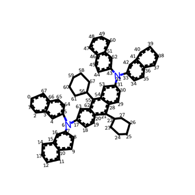 c1ccc2cc(N(c3ccc4ccccc4c3)c3ccc4c(C5CCCCC5)c5ccc(N(c6ccc7ccccc7c6)c6ccc7ccccc7c6)cc5c(C5CCCCC5)c4c3)ccc2c1